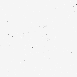 C=C(C)C(=O)OC1CC(C(=O)OC2(C(C)C)CCCC2)C2CC1OC2=O